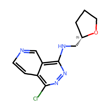 Clc1nnc(NC[C@@H]2CCCO2)c2cnccc12